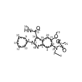 CCN(c1cc2nn(-c3ccccc3)c(C(=O)NC)c2cc1OC)S(C)(=O)=O